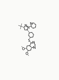 COc1cc2ncnc(Sc3cccc(-c4cc(C(C)(C)C)nn4-c4ccccn4)c3)c2cc1OC